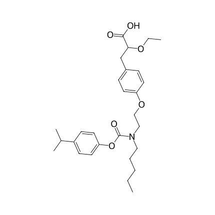 CCCCCN(CCOc1ccc(CC(OCC)C(=O)O)cc1)C(=O)Oc1ccc(C(C)C)cc1